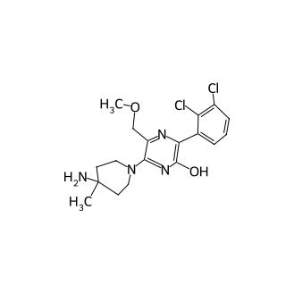 COCc1nc(-c2cccc(Cl)c2Cl)c(O)nc1N1CCC(C)(N)CC1